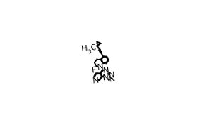 CC1(C#Cc2cccc3c2CCCN3c2nc3nncn3c3cncc(F)c23)CC1